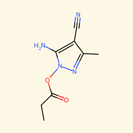 CCC(=O)On1nc(C)c(C#N)c1N